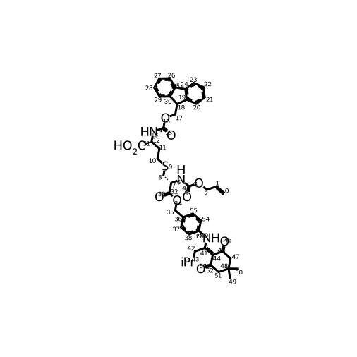 C=CCOC(=O)N[C@@H](CSCC[C@H](NC(=O)OCC1c2ccccc2-c2ccccc21)C(=O)O)C(=O)OCc1ccc(NC(CC(C)C)=C2C(=O)CC(C)(C)CC2=O)cc1